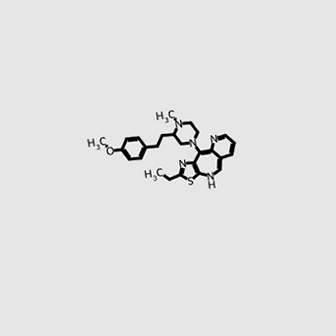 CCc1nc2c(s1)NC=c1cccnc1=C2N1CCN(C)C(CCc2ccc(OC)cc2)C1